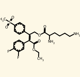 CCOC(=O)/C(=C(\COC(=O)C(N)CCCCN)c1ccc(S(C)(=O)=O)cc1)c1ccc(F)c(F)c1